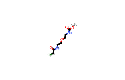 CC(C)(C)OC(=O)NCCOCCNC(=O)CCl